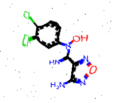 N=C(c1nonc1N)N(O)c1ccc(Cl)c(Cl)c1